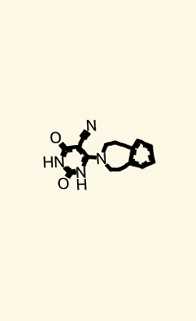 N#Cc1c(N2CCc3ccccc3CC2)[nH]c(=O)[nH]c1=O